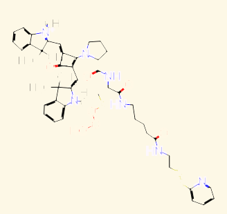 CN1/C(=C/C2=C(N3CCC[C@@H]3C(=O)N[C@@H](CSOOO)C(=O)NCCCCC(=O)NCCSSc3ccccn3)C(=C/C3=[N+](C)c4ccccc4C3(C)C)/C2=O)C(C)(C)c2ccccc21